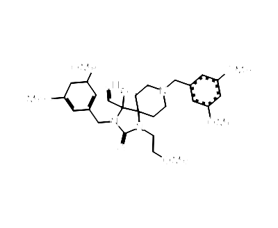 C=CC1(O)N(CC2=CC(OC)CC(OC)=C2)C(=O)N(CCOC)C12CCN(Cc1cc(OC)cc(OC)c1)CC2